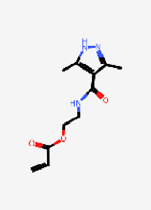 C=CC(=O)OCCNC(=O)c1c(C)n[nH]c1C